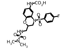 CN(C)S(=O)(=O)NCC1CN(S(=O)(=O)c2ccc(F)cc2)c2cc(NC(=O)O)ccc2O1